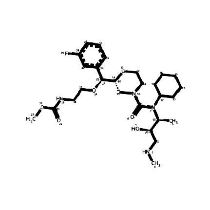 CNC[C@@H](O)[C@H](C)N(C(=O)N1CCO[C@@H]([C@@H](OCCNC(=O)OC)c2cccc(F)c2)C1)C1CCCCC1